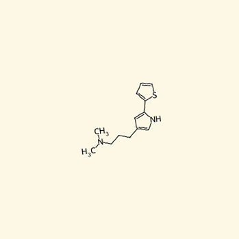 CN(C)CCCc1c[nH]c(-c2cccs2)c1